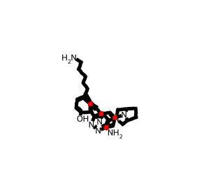 NCCCCCCC#Cc1cc(N2C3CCC2CN(c2cc(-c4ccccc4O)nnc2N)C3)ccn1